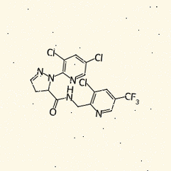 O=C(NCc1ncc(C(F)(F)F)cc1Cl)C1CC=NN1c1ncc(Cl)cc1Cl